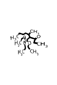 CCCCC(C)C(C(=O)CC)[Si](OCC)(OCC)OCC